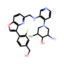 CC1CN(c2ccncc2NCc2ccc3occ(-c4ccc(CO)cc4F)c3n2)CC(N)C1O